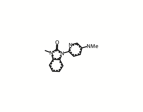 CNc1ccc(-n2c(=O)n(C)c3ccccc32)nc1